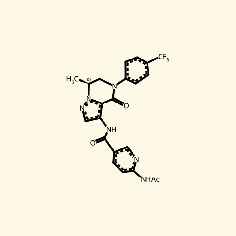 CC(=O)Nc1ccc(C(=O)Nc2cnn3c2C(=O)N(c2ccc(C(F)(F)F)cc2)C[C@@H]3C)cn1